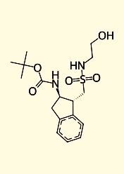 CC(C)(C)OC(=O)N[C@@H]1Cc2ccccc2[C@H]1CS(=O)(=O)NCCO